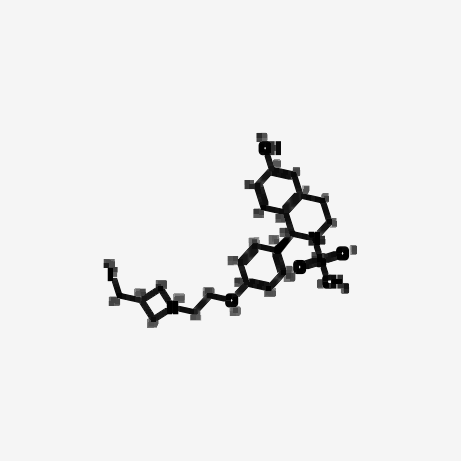 CS(=O)(=O)N1CCc2cc(O)ccc2[C@@H]1c1ccc(OCCN2CC(CF)C2)cc1